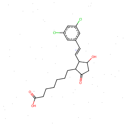 O=C(O)CCCCCCC1C(=O)CC(O)C1/C=C/c1cc(Cl)cc(Cl)c1